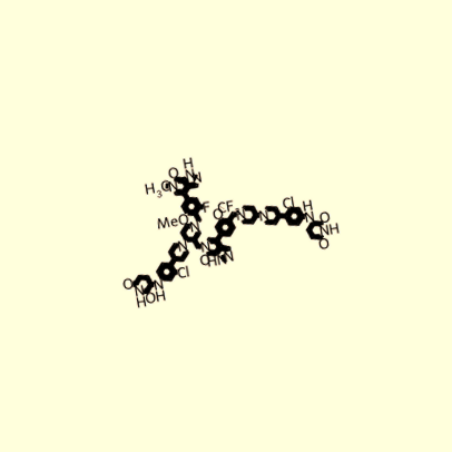 COc1cc(-c2cn(C)c(=O)c3[nH]ncc23)cc(F)c1CN1CCC(N2CCC(c3ccc(NC4CCC(=O)NC4=O)cc3Cl)CC2)C(Cn2cc(-c3ccc(CN4CCC(N5CCC(c6ccc(NC7CCC(=O)NC7=O)cc6Cl)CC5)CC4)c(OC(F)(F)F)c3)c3cn[nH]c3c2=O)C1